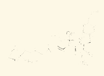 CCCCCCCC1(CCCCCCC=C[C@H](C(=O)N[C@@H](Cc2ccc(OCCCC)cc2)C(=O)OC(C)(C)C)[C@@](O)(CCF)C(=O)O)OCCO1